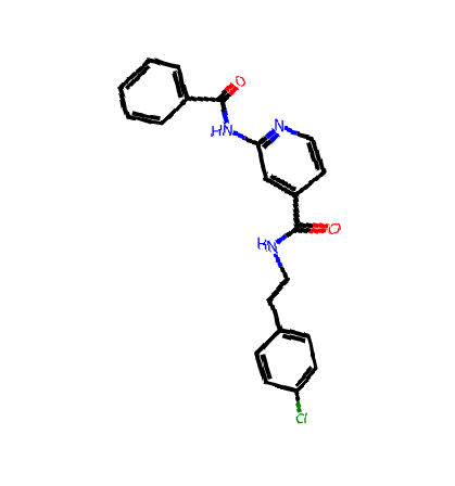 O=C(NCCc1ccc(Cl)cc1)c1ccnc(NC(=O)c2ccccc2)c1